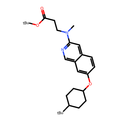 CN(CCC(=O)OC(C)(C)C)c1cc2ccc(OC3CCC(C(C)(C)C)CC3)cc2cn1